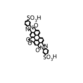 O=c1c2cc3c4c5c(cc6c7c(ccc(c8ccc(c2c84)c2nc4ccc(S(=O)(=O)O)cc4n12)c57)c(=O)n1c2cc(S(=O)(=O)O)ccc2nc61)S3(=O)=O